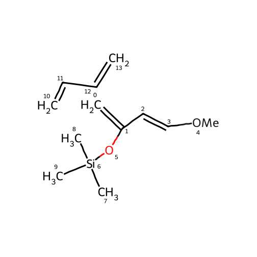 C=C(C=COC)O[Si](C)(C)C.C=CC=C